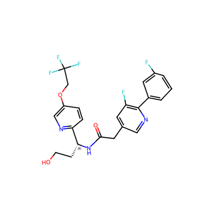 O=C(Cc1cnc(-c2cccc(F)c2)c(F)c1)N[C@H](CCO)c1ccc(OCC(F)(F)F)cn1